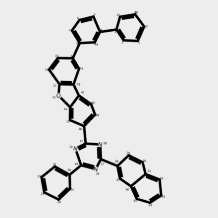 c1ccc(-c2cccc(-c3ccc4oc5cc(-c6nc(-c7ccccc7)nc(-c7ccc8ccccc8c7)n6)ccc5c4c3)c2)cc1